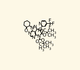 CC(C)(C)OC(=O)N(C(=O)OC(C)(C)C)c1ncnc2c1c(Oc1cc(C(F)(F)F)ccn1)nn2C1CCCCC1=O